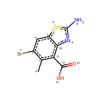 Cc1c(Br)cc2sc(N)nc2c1C(=O)O